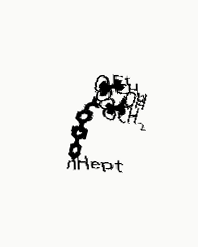 C=C(CC)C(=O)OCC(COC(=O)C(=C)CO)CC1CCC(c2ccc(C3=CCC(CCCCCCC)CC3)cc2)CC1